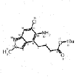 Cn1cc2c(CCCC(=O)OC(C)(C)C)c(N)c(Cl)cc2n1